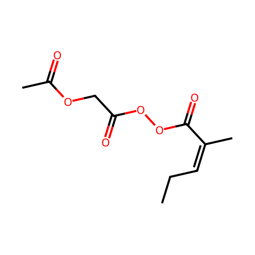 CCC=C(C)C(=O)OOC(=O)COC(C)=O